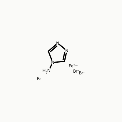 Nn1cnnc1.[Br-].[Br-].[Br-].[Fe+3]